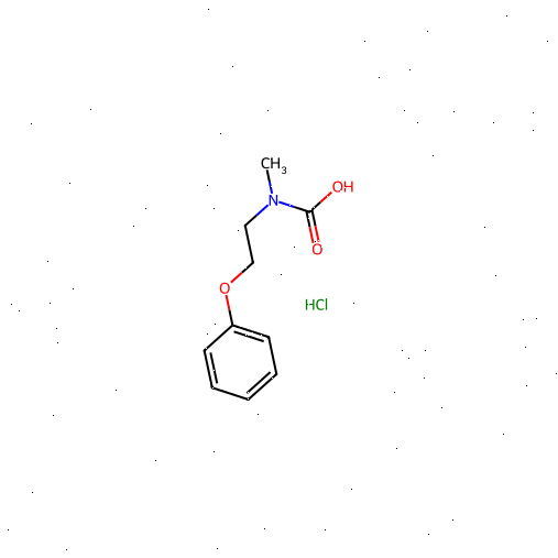 CN(CCOc1ccccc1)C(=O)O.Cl